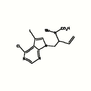 C=CC(Cn1cc(I)c2c(Cl)ncnc21)N(C(=O)O)C(C)(C)C